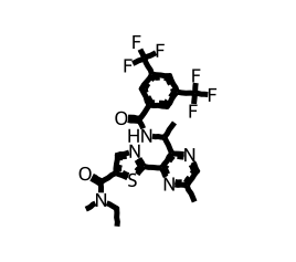 CCN(C)C(=O)c1cnc(-c2nc(C)cnc2C(C)NC(=O)c2cc(C(F)(F)F)cc(C(F)(F)F)c2)s1